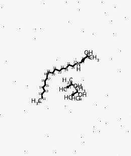 C#CC(C)O.C#CC(C)O.CCCCCCCC/C=C\CCCCCCCCNC#CC(C)O.Cl